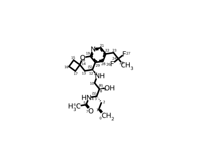 C=CC[C@H](NC(C)=O)[C@H](O)CN[C@H]1CC2(CCC2)Oc2ncc(CC(C)(F)F)cc21